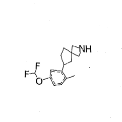 Cc1ccc(OC(F)F)cc1C1CCC2(CNC2)C1